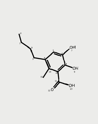 CCCCc1cc(O)c(O)c(C(=O)O)c1C